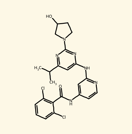 CC(C)c1cc(Nc2cc(NC(=O)c3c(Cl)cccc3Cl)ccn2)nc(N2CCC(O)C2)n1